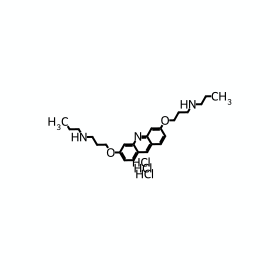 CCCNCCCOc1ccc2cc3ccc(OCCCNCCC)cc3nc2c1.Cl.Cl.Cl